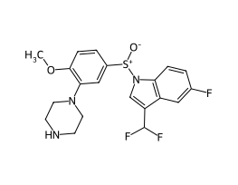 COc1ccc([S+]([O-])n2cc(C(F)F)c3cc(F)ccc32)cc1N1CCNCC1